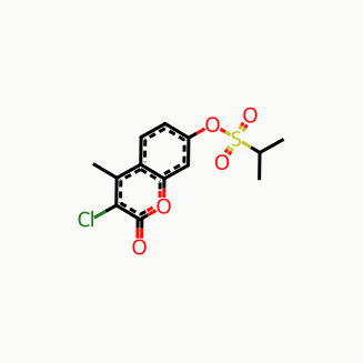 Cc1c(Cl)c(=O)oc2cc(OS(=O)(=O)C(C)C)ccc12